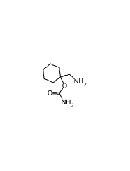 NCC1(OC(N)=O)CCCCC1